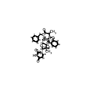 CC(C(=O)OCc1ccccc1)N(Oc1ccccc1)[PH](=O)OC[C@H]1O[C@@H](n2ccc(=O)[nH]c2=O)[C@](C)(F)[C@@H]1O